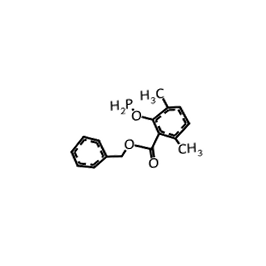 Cc1ccc(C)c(C(=O)OCc2ccccc2)c1OP